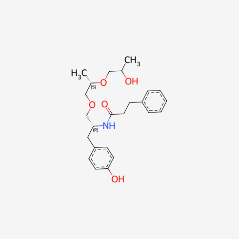 CC(O)CO[C@@H](C)COC[C@@H](Cc1ccc(O)cc1)NC(=O)CCc1ccccc1